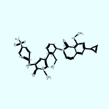 COc1cc(C2CC2)cc2ccn(-c3cccc(-c4cc(Nc5ccc(S(C)(=O)=O)cn5)c(=O)n(C)c4)c3CO)c(=O)c12